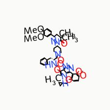 COc1ccc(C2=NN(C3CCN(C(=O)[C@@H](Cc4ccccc4)NC(=O)Oc4c(C)[nH]c5c(-c6c(OCC7CC7)ccc7c6OCO7)ncnc45)CC3)C(=O)C(C)(C)C2)cc1OC